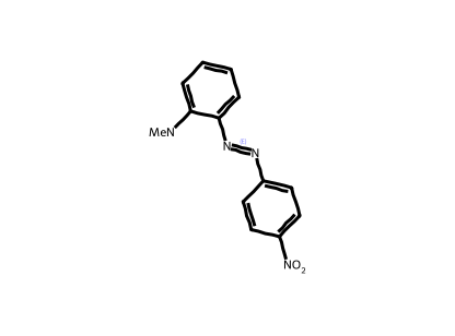 CNc1ccccc1/N=N/c1ccc([N+](=O)[O-])cc1